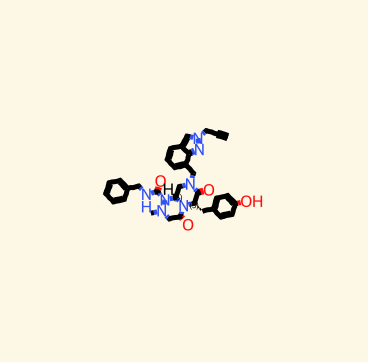 C#CCn1cc2cccc(CN3C[C@H]4N(C(=O)CN(C)N4C(=O)NCc4ccccc4)[C@@H](Cc4ccc(O)cc4)C3=O)c2n1